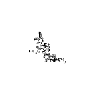 CCn1c(-c2ccc(Br)c(F)c2)nc(C)c1C(=O)Oc1ccc2nn(C)cc2c1